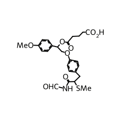 COc1ccc(C(COc2ccc(CC(SC)C(=O)NC=O)cc2)OC(=O)CCCC(=O)O)cc1